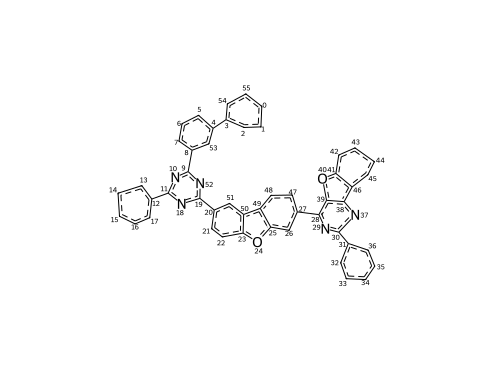 c1ccc(-c2cccc(-c3nc(-c4ccccc4)nc(-c4ccc5oc6cc(-c7nc(-c8ccccc8)nc8c7oc7ccccc78)ccc6c5c4)n3)c2)cc1